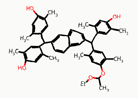 CCOC(C)Oc1cc(C)c(C(c2ccc3cc(C(c4cc(C)c(O)cc4C)c4cc(C)c(O)cc4C)ccc3c2)c2cc(C)c(O)cc2C)cc1C